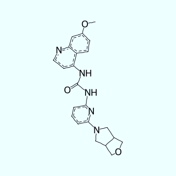 COc1ccc2c(NC(=O)Nc3cccc(N4CC5COCC5C4)n3)ccnc2c1